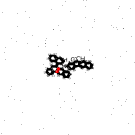 CC1(C)c2cc(N(c3ccc4ccccc4c3-c3ccc4ccccc4c3)c3cccc4ccccc34)ccc2-c2cc3ccccc3cc21